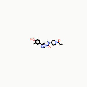 CCC(=O)N1CCC(N(C)C(=O)n2cnc(-c3ccc(O)c(C)c3)c2)CC1